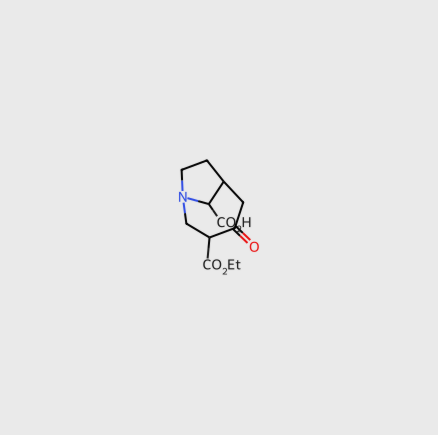 CCOC(=O)C1CN2CCC(CC1=O)C2C(=O)O